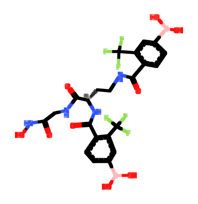 O=C(CNC(=O)[C@H](CCNC(=O)c1ccc(B(O)O)cc1C(F)(F)F)NC(=O)c1ccc(B(O)O)cc1C(F)(F)F)NO